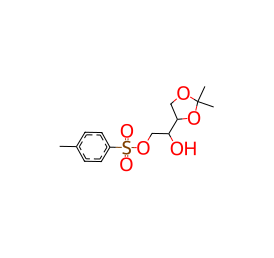 Cc1ccc(S(=O)(=O)OCC(O)C2COC(C)(C)O2)cc1